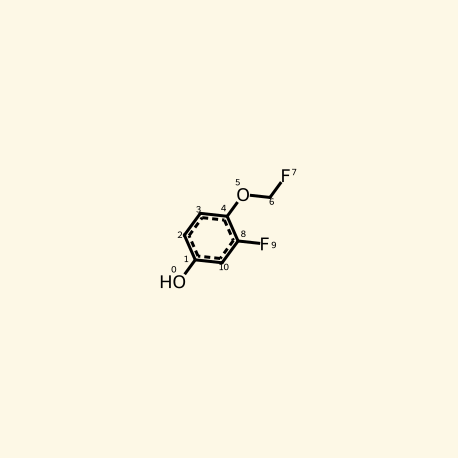 Oc1ccc(OCF)c(F)c1